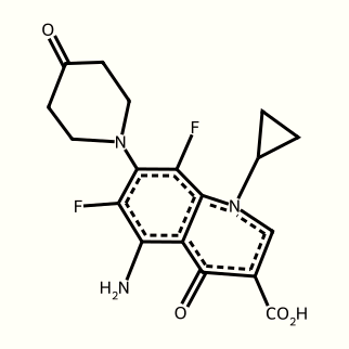 Nc1c(F)c(N2CCC(=O)CC2)c(F)c2c1c(=O)c(C(=O)O)cn2C1CC1